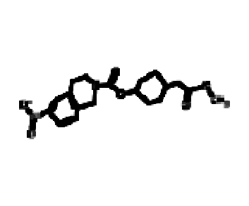 COC(=O)CC1CCC(OC(=O)N2CCc3cc([N+](=O)[O-])ccc3C2)CC1